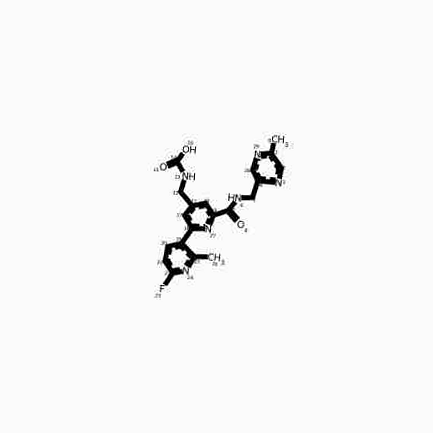 Cc1cnc(CNC(=O)c2cc(CNC(=O)O)cc(-c3ccc(F)nc3C)n2)cn1